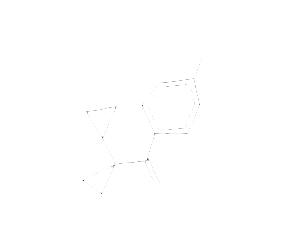 O=C(c1ccc(Cl)cc1)C1(C2CC2)CC1